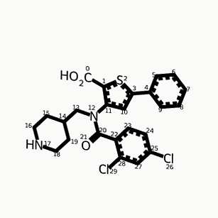 O=C(O)c1sc(-c2ccccc2)cc1N(CC1CCNCC1)C(=O)c1ccc(Cl)cc1Cl